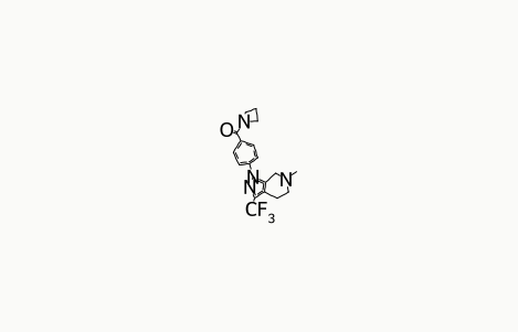 CN1CCc2c(C(F)(F)F)nn(-c3ccc(C(=O)N4CCC4)cc3)c2C1